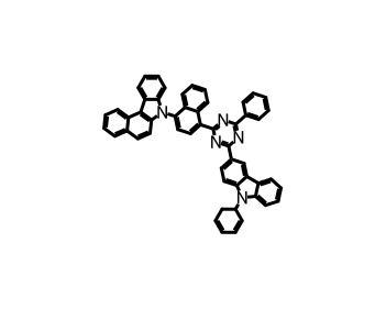 C1=CCC(n2c3ccccc3c3cc(-c4nc(-c5ccccc5)nc(-c5ccc(-n6c7ccccc7c7c8ccccc8ccc76)c6ccccc56)n4)ccc32)C=C1